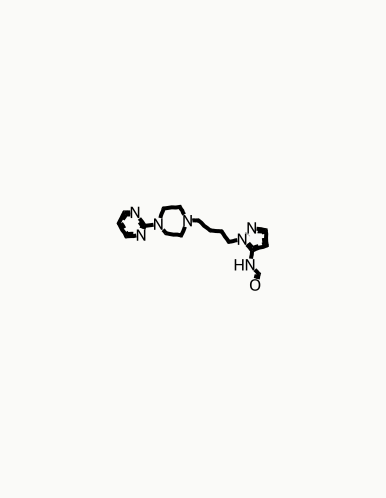 O=CNc1ccnn1CCCCN1CCN(c2ncccn2)CC1